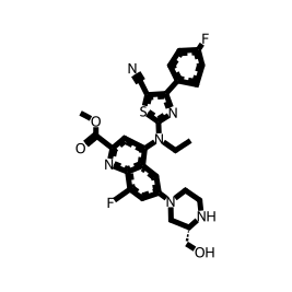 CCN(c1nc(-c2ccc(F)cc2)c(C#N)s1)c1cc(C(=O)OC)nc2c(F)cc(N3CCN[C@H](CO)C3)cc12